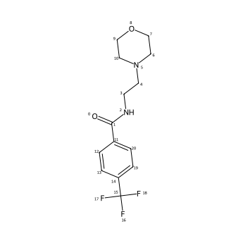 O=C(NCCN1CCOCC1)c1ccc(C(F)(F)F)cc1